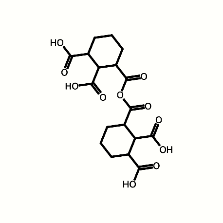 O=C(O)C1CCCC(C(=O)OC(=O)C2CCCC(C(=O)O)C2C(=O)O)C1C(=O)O